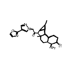 CCCC1C(CC)CCC2C1CCC1(C)C(C(=O)Cn3cc(-c4ncco4)cn3)C3C(C)C3C21